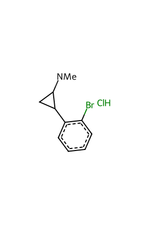 CNC1CC1c1ccccc1Br.Cl